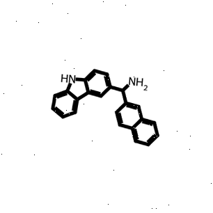 NC(c1ccc2ccccc2c1)c1ccc2[nH]c3ccccc3c2c1